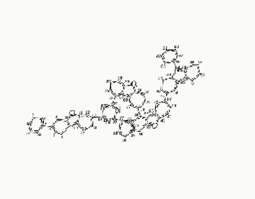 c1ccc(-c2ccc3c(c2)oc2cc(-c4nc(-c5ccccc5)nc(-c5cccc6oc7ccc(-c8cccc9oc%10ccc(-c%11ccc%12c(c%11)c%11ccccc%11n%12-c%11ccccc%11)cc%10c89)cc7c56)n4)ccc23)cc1